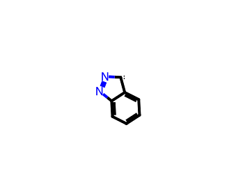 [C]1N=Nc2ccccc21